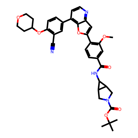 COc1cc(C(=O)NC2C3CN(C(=O)OC(C)(C)C)CC32)ccc1-c1cc2nccc(-c3ccc(OC4CCOCC4)c(C#N)c3)c2o1